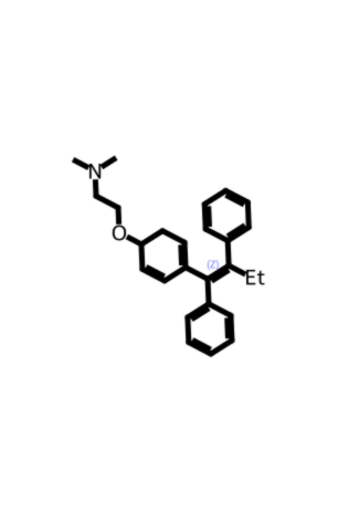 CC/C(=C(/C1=CCC(OCCN(C)C)C=C1)c1ccccc1)c1ccccc1